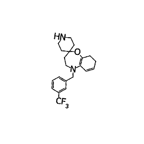 FC(F)(F)c1cccc(CN2CCC3(CCNCC3)OC3=C2C=CCC3)c1